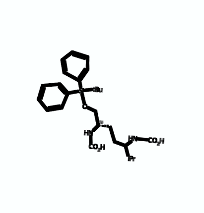 CC(C)C(CC[C@@H](CO[Si](c1ccccc1)(c1ccccc1)C(C)(C)C)NC(=O)O)NC(=O)O